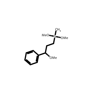 COC(CC[Si](C)(OC)OC)c1ccccc1